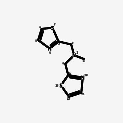 CN(Cc1nccs1)Cc1nccs1